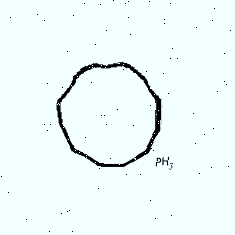 C1CCCCCCCCCCC1.P